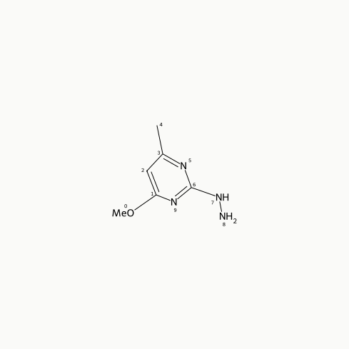 COc1cc(C)nc(NN)n1